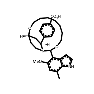 COc1cc(C)c2[nH]ccc2c1C1OCCCCCCCO[C@H]2CCN1[C@H](c1ccc(C(=O)O)cc1)C2